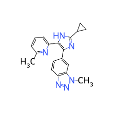 Cc1cccc(-c2[nH]c(C3CC3)nc2-c2ccc3nnn(C)c3c2)n1